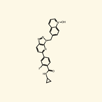 O=C(NC1CC1)c1ccc(-c2ccc3nnn(Cc4ccc5c(ccc[n+]5O)c4)c3n2)cc1F